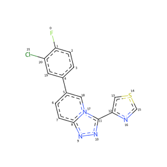 Fc1ccc(-c2ccc3nnc(-c4cscn4)n3c2)cc1Cl